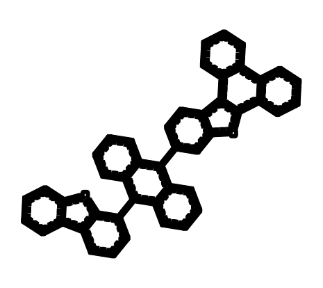 c1ccc2c(c1)oc1c(-c3c4ccccc4c(-c4ccc5c(c4)oc4c6ccccc6c6ccccc6c54)c4ccccc34)cccc12